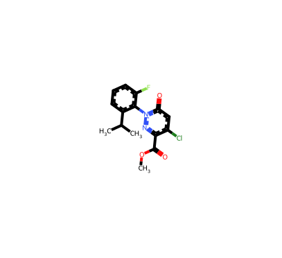 COC(=O)c1nn(-c2c(F)cccc2C(C)C)c(=O)cc1Cl